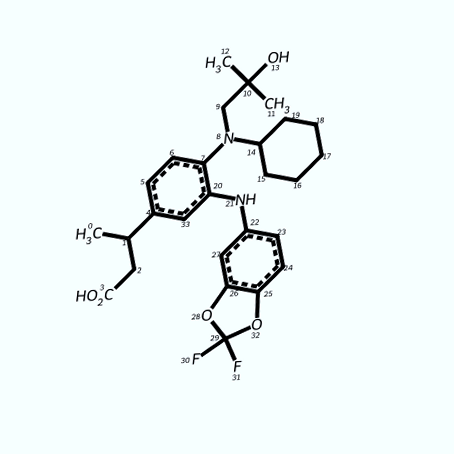 CC(CC(=O)O)c1ccc(N(CC(C)(C)O)C2CCCCC2)c(Nc2ccc3c(c2)OC(F)(F)O3)c1